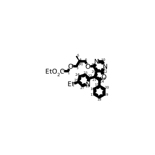 CCOC(=O)COC[C@@H](C)COc1ncnc2oc(-c3ccccc3)c(-c3ccc(CC)cn3)c12